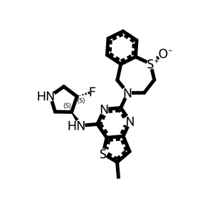 Cc1cc2nc(N3CC[S+]([O-])c4ccccc4C3)nc(N[C@H]3CNC[C@@H]3F)c2s1